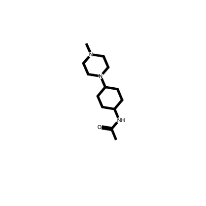 CC(=O)NC1CCC(N2CCN(C)CC2)CC1